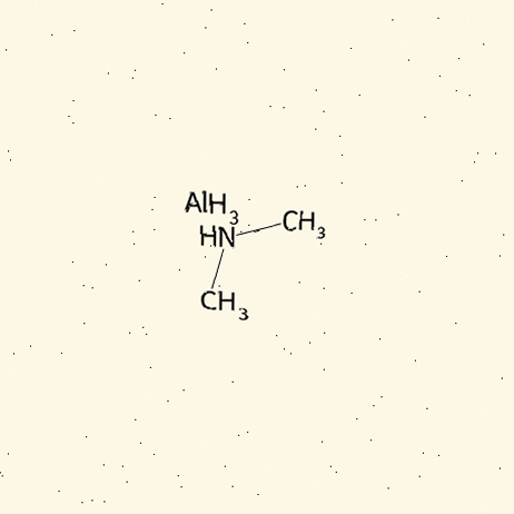 CNC.[AlH3]